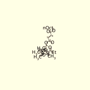 CCCCCCCCOC(=O)/C=C/C(=O)OC(C)OC(CC)[Si](C)(C)O[Si](C)(C)C